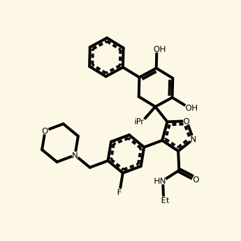 CCNC(=O)c1noc(C2(C(C)C)CC(c3ccccc3)=C(O)C=C2O)c1-c1ccc(CN2CCOCC2)c(F)c1